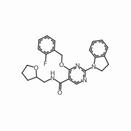 O=C(NCC1CCCO1)c1cnc(N2CCc3ccccc32)nc1OCc1ccccc1F